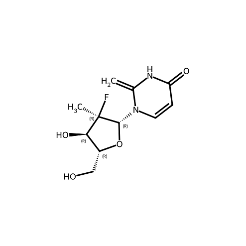 C=C1NC(=O)C=CN1[C@@H]1O[C@H](CO)[C@@H](O)[C@@]1(C)F